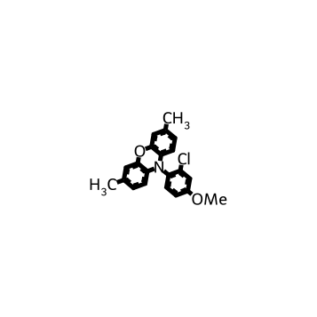 COc1ccc(N2c3ccc(C)cc3Oc3cc(C)ccc32)c(Cl)c1